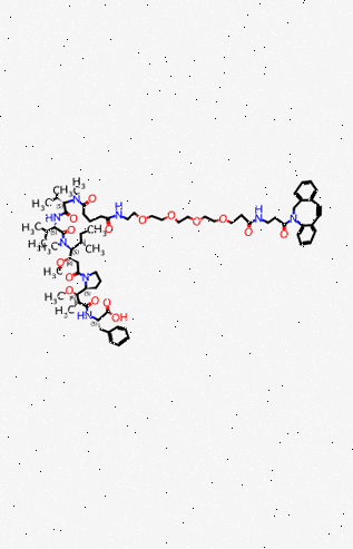 CC[C@H](C)[C@@H]([C@@H](CC(=O)N1CCC[C@H]1[C@H](OC)[C@@H](C)C(=O)N[C@@H](Cc1ccccc1)C(=O)O)OC)N(C)C(=O)[C@@H](NC(=O)[C@H](C(C)C)N(C)C(=O)CCCC(=O)NCCOCCOCCOCCOCCC(=O)NCCC(=O)N1Cc2ccccc2C#Cc2ccccc21)C(C)C